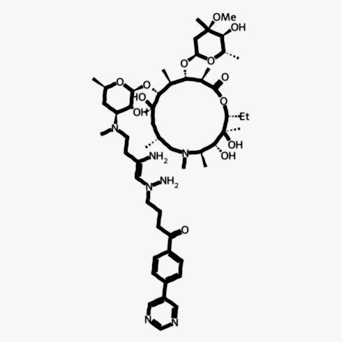 CC[C@H]1OC(=O)[C@H](C)[C@@H](O[C@H]2C[C@@](C)(OC)[C@@H](O)[C@H](C)O2)[C@H](C)[C@@H](O[C@@H]2O[C@H](C)C[C@H](N(C)CC/C(N)=C/N(N)CCCC(=O)c3ccc(-c4cncnc4)cc3)[C@H]2O)[C@](C)(O)C[C@@H](C)CN(C)[C@H](C)[C@@H](O)[C@]1(C)O